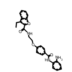 CCc1c(C(=O)NCCOc2ccc(C(=O)Nc3ccccc3N)cc2)oc2ccccc12